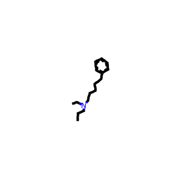 CCCN(CC)CCCCCc1ccccc1